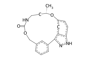 C[C@H]1CCNC(=O)OCc2cccc(c2)-c2n[nH]c3ccc(cc23)O1